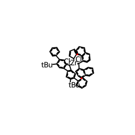 CC(C)(C)c1cc2c(cc1-c1ccccc1)[CH]([Zr]([Cl])([Cl])(=[C](c1cccc3ccccc13)c1cccc3ccccc13)[CH]1C=CC=C1)c1cc(-c3ccccc3)c(C(C)(C)C)cc1-2